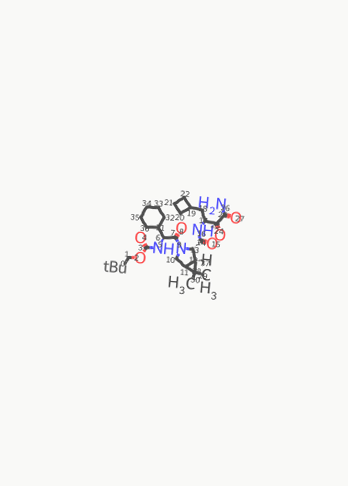 CC(C)(C)COC(=O)N[C@H](C(=O)N1CC2[C@@H]([C@H]1C(=O)NC(CC1CCC1)C(=O)C(N)=O)C2(C)C)C1CCCCC1